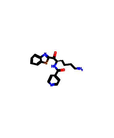 NCCCC[C@H](NC(=O)c1ccncc1)C(=O)c1nc2ccccc2s1